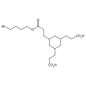 CC(C)CCCCOC(=O)CCC1CC(CCC(=O)O)CC(CCC(=O)O)C1